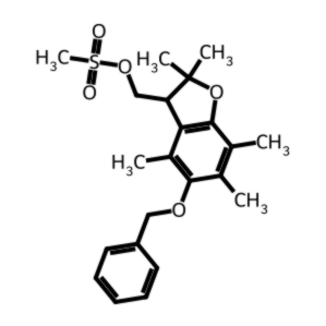 Cc1c(C)c2c(c(C)c1OCc1ccccc1)C(COS(C)(=O)=O)C(C)(C)O2